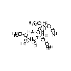 COc1cc(OCC(NC(=O)c2cc(-c3ccc4[nH]ncc4c3)ccc2F)c2cccc(OC)c2)cc(C(CN2CCC(c3cc(Cl)cc(C(CCO)NC(=O)c4cccc(-c5ccc6[nH]ncc6c5)c4)c3)C2)NC(=O)c2cccc(-c3ccc4[nH]ncc4c3)c2)c1